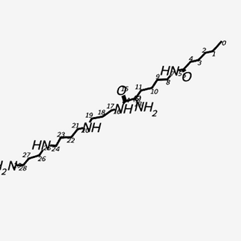 CCCCCC(=O)NCCCC[C@H](N)C(=O)NCCCNCCCCNCCCN